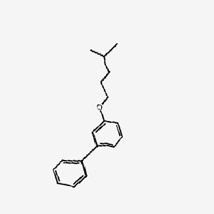 CC(C)CCCOc1cccc(-c2ccccc2)c1